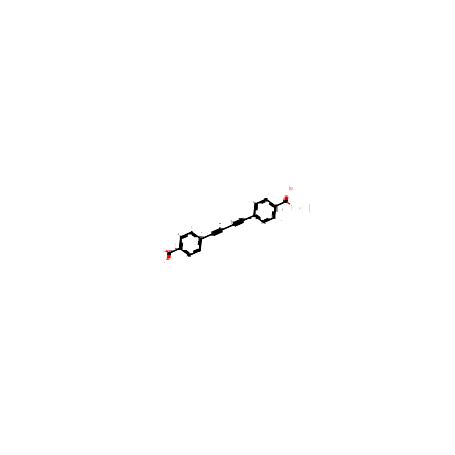 O=C(O)c1ccc(C#CC#Cc2ccc(C(=O)O)cc2)cc1